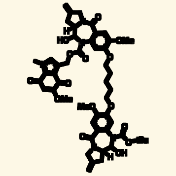 C=C1C[C@H]2C(O)N(C(=O)OCc3cn(C)c4c3C(=O)C(OC)=CC4=O)c3cc(OCCCCCOc4cc5c(cc4OC)C(=O)N4CC(=C)C[C@H]4C(O)N5C(=O)OC(C)(C)C)c(OC)cc3C(=O)N2C1